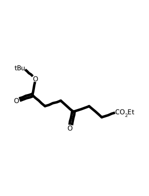 CCOC(=O)CCC(=O)CCC(=O)OC(C)(C)C